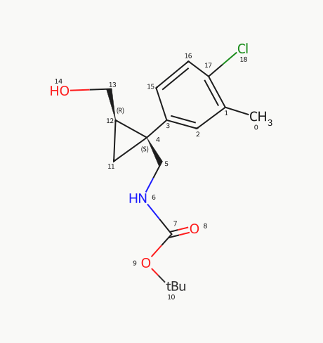 Cc1cc([C@]2(CNC(=O)OC(C)(C)C)C[C@H]2CO)ccc1Cl